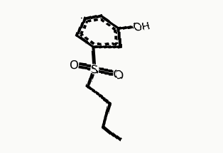 CCCCS(=O)(=O)c1c[c]cc(O)c1